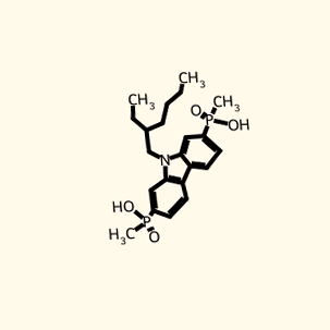 CCCCC(CC)Cn1c2cc(P(C)(=O)O)ccc2c2ccc(P(C)(=O)O)cc21